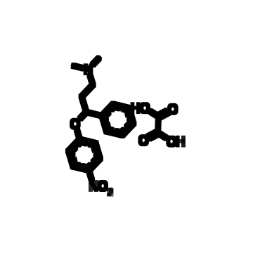 CN(C)CCC(Oc1ccc([N+](=O)[O-])cc1)c1ccccc1.O=C(O)C(=O)O